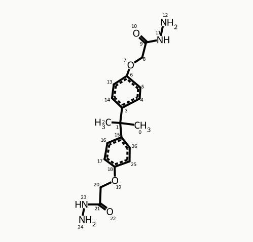 CC(C)(c1ccc(OCC(=O)NN)cc1)c1ccc(OCC(=O)NN)cc1